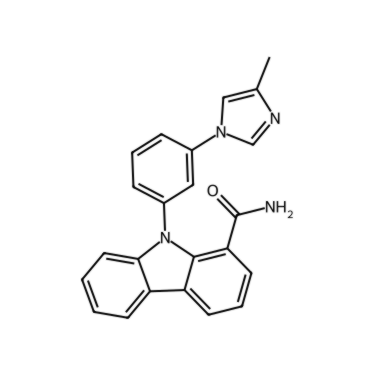 Cc1cn(-c2cccc(-n3c4ccccc4c4cccc(C(N)=O)c43)c2)cn1